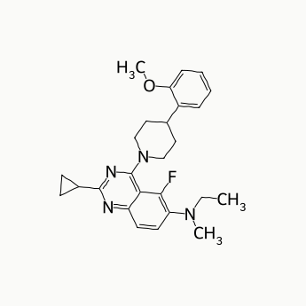 CCN(C)c1ccc2nc(C3CC3)nc(N3CCC(c4ccccc4OC)CC3)c2c1F